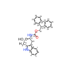 Cc1[nH]c2ccccc2c1CC(NC(=O)OCC1c2ccccc2-c2ccccc21)C(=O)O